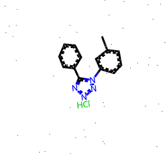 Cc1cccc(-n2nnnc2-c2ccccc2)c1.Cl